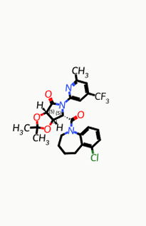 Cc1cc(C(F)(F)F)cc(N2C(=O)[C@H]3OC(C)(C)O[C@H]3[C@H]2C(=O)N2CCCCc3c(Cl)cccc32)n1